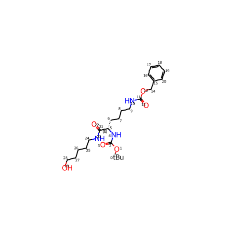 CC(C)(C)OC(=O)N[C@@H](CCCCNC(=O)OCc1ccccc1)C(=O)NCCCCCO